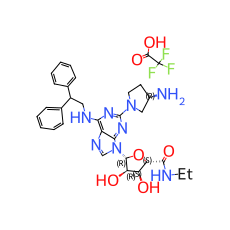 CCNC(=O)[C@H]1O[C@@H](n2cnc3c(NCC(c4ccccc4)c4ccccc4)nc(N4CC[C@@H](N)C4)nc32)[C@H](O)[C@@H]1O.O=C(O)C(F)(F)F